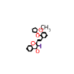 COc1cccc(C=Cc2oc3ccccc3c(=O)c2I)c1OC1CCCC1